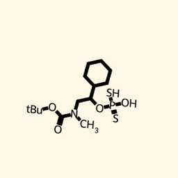 CN(CC(OP(O)(=S)S)C1CCCCC1)C(=O)OC(C)(C)C